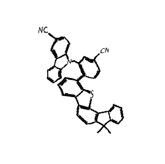 CC1(C)c2ccccc2-c2c1ccc1c2sc2c(-c3ccc(C#N)cc3-n3c4ccccc4c4cc(C#N)ccc43)cccc21